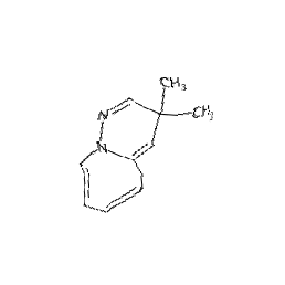 CC1(C)C=NN2C=CC=CC2=C1